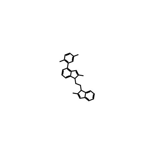 CC1=Cc2ccccc2C1CCC1C(C)=Cc2c(-c3cc(C)ccc3C)cccc21